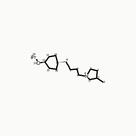 CC1CCN(CCCC[C@H]2CC[C@H](OC(C)C)CC2)C1